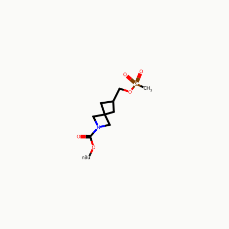 CCCCOC(=O)N1CC2(CC(COS(C)(=O)=O)C2)C1